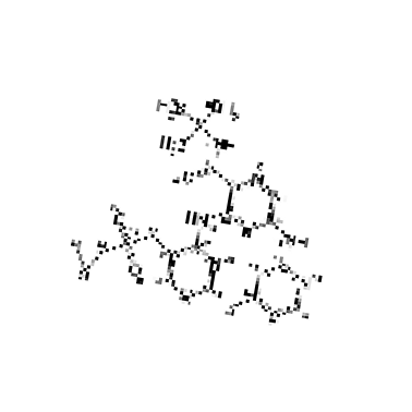 BC(B)(B)NC(=O)c1nnc(Nc2cc(C)ccn2)cc1Nc1ncccc1CS(=O)(=O)C1CC1